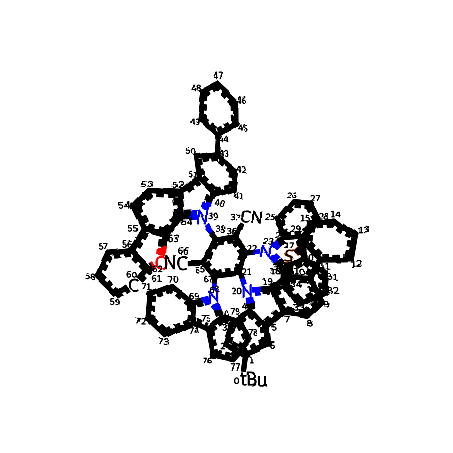 CC(C)(C)c1ccc2c(c1)c1ccc3c4ccccc4sc3c1n2-c1c(-n2c3ccccc3c3ccccc32)c(C#N)c(-n2c3ccc(-c4ccccc4)cc3c3ccc4c5ccccc5oc4c32)c(C#N)c1-n1c2ccccc2c2ccccc21